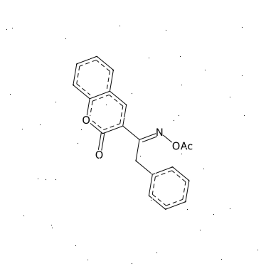 CC(=O)ON=C(Cc1ccccc1)c1cc2ccccc2oc1=O